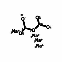 [Na+].[Na+].[Na+].[Na+].[O-]P([O-])OP([O-])[O-]